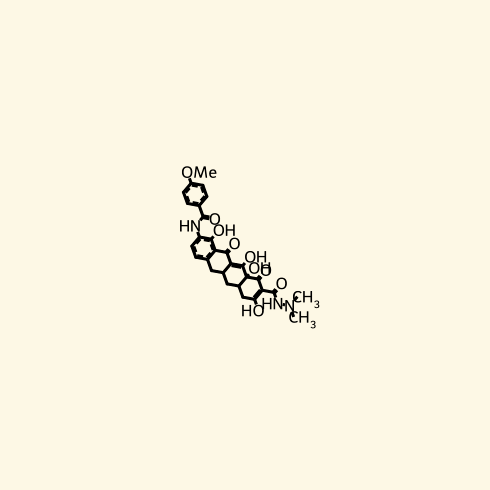 COc1ccc(C(=O)Nc2ccc3c(c2O)C(=O)C2=C(O)C4(O)C(=O)C(C(=O)NN(C)C)=C(O)CC4CC2C3)cc1